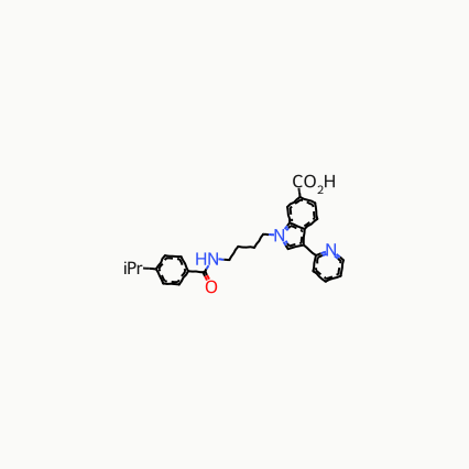 CC(C)c1ccc(C(=O)NCCCCn2cc(-c3ccccn3)c3ccc(C(=O)O)cc32)cc1